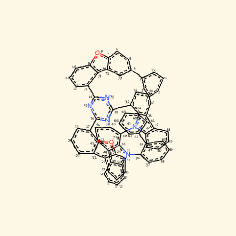 c1ccc(-c2ccc3oc4cccc(-c5nc(-c6cccc7c6oc6ccccc67)nc(-c6cccc7c8ccccc8n(-c8cccc9c%10ccccc%10n(-c%10ccccc%10-c%10ccccc%10)c89)c67)n5)c4c3c2)cc1